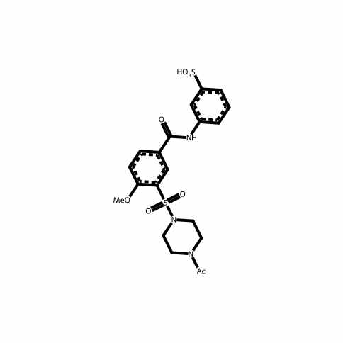 COc1ccc(C(=O)Nc2cccc(S(=O)(=O)O)c2)cc1S(=O)(=O)N1CCN(C(C)=O)CC1